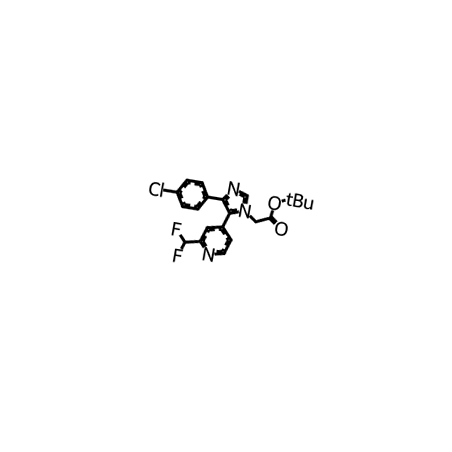 CC(C)(C)OC(=O)Cn1cnc(-c2ccc(Cl)cc2)c1-c1ccnc(C(F)F)c1